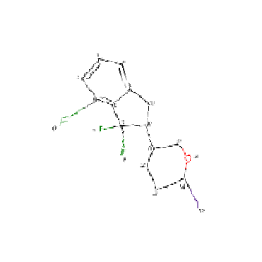 Fc1cccc2c1C(F)(F)C(C1CCC(I)OC1)C2